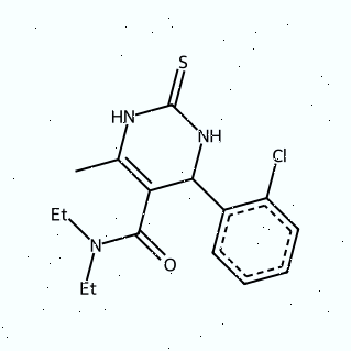 CCN(CC)C(=O)C1=C(C)NC(=S)NC1c1ccccc1Cl